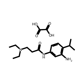 CCN(CC)CCC(=O)Nc1ccc(C(C)C)c(N)c1.O=C(O)C(=O)O